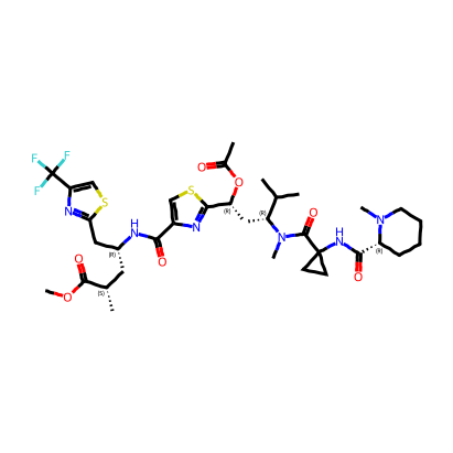 COC(=O)[C@@H](C)C[C@H](Cc1nc(C(F)(F)F)cs1)NC(=O)c1csc([C@@H](C[C@H](C(C)C)N(C)C(=O)C2(NC(=O)[C@H]3CCCCN3C)CC2)OC(C)=O)n1